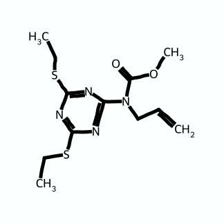 C=CCN(C(=O)OC)c1nc(SCC)nc(SCC)n1